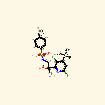 CC[Si](CC)(CC)c1cc(Br)nc(C(C)(O)CNS(=O)(=O)c2ccc([N+](=O)[O-])cc2)c1F